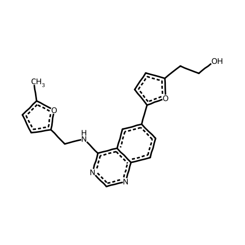 Cc1ccc(CNc2ncnc3ccc(-c4ccc(CCO)o4)cc23)o1